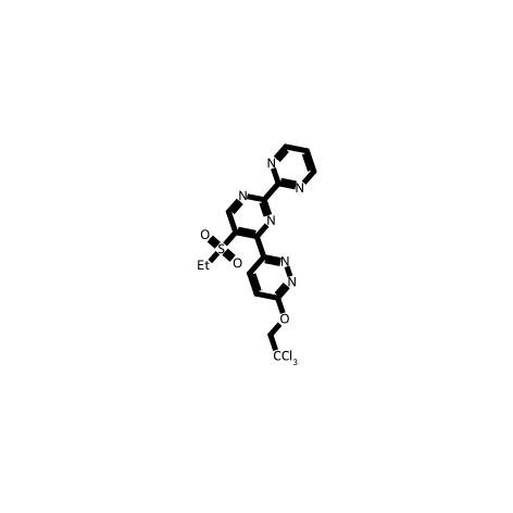 CCS(=O)(=O)c1cnc(-c2ncccn2)nc1-c1ccc(OCC(Cl)(Cl)Cl)nn1